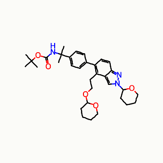 CC(C)(C)OC(=O)NC(C)(C)c1ccc(-c2ccc3nn(C4CCCCO4)cc3c2CCOC2CCCCO2)cc1